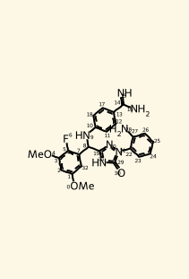 COc1cc(OC)c(F)c(C(Nc2ccc(C(=N)N)cc2)c2nn(-c3ccccc3N)c(=O)[nH]2)c1